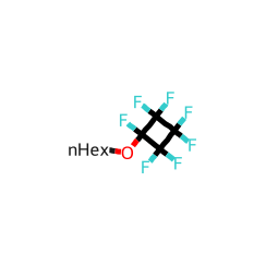 CCCCCCOC1(F)C(F)(F)C(F)(F)C1(F)F